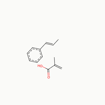 C=C(C)C(=O)O.CC=Cc1ccccc1